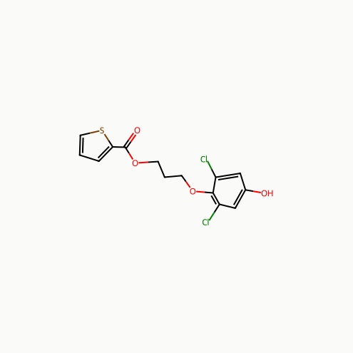 O=C(OCCCOc1c(Cl)cc(O)cc1Cl)c1cccs1